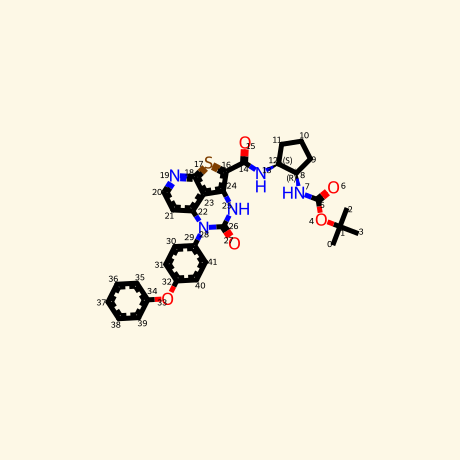 CC(C)(C)OC(=O)N[C@@H]1CCC[C@@H]1NC(=O)c1sc2nccc3c2c1NC(=O)N3c1ccc(Oc2ccccc2)cc1